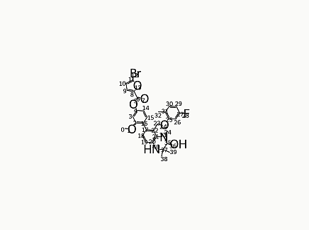 COc1cc(OC(=O)c2ccc(Br)o2)ccc1-c1ccc2c(c1COc1cc(F)ccc1C)N(C)C(O)C(C)(C)N2